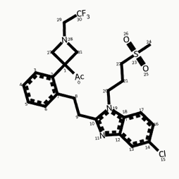 CC(=O)C1(c2ccccc2CCc2nc3cc(Cl)ccc3n2CCCS(C)(=O)=O)CN(CC(F)(F)F)C1